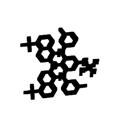 Cc1cccc(N2c3cc(SC(F)(F)F)cc4c3B(c3ccc5c(C(C)(C)C)cccc5c32)c2ccc3c(C(C)(C)C)cccc3c2N4c2cccc(C)c2)c1